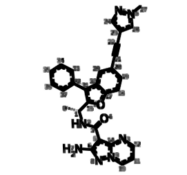 C[C@@H](NC(=O)c1c(N)nn2cccnc12)c1oc2ccc(C#Cc3cnn(C)c3)cc2c1-c1ccccc1